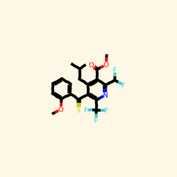 COC(=O)c1c(C(F)F)nc(C(F)(F)F)c(C(=S)c2ccccc2OC)c1CC(C)C